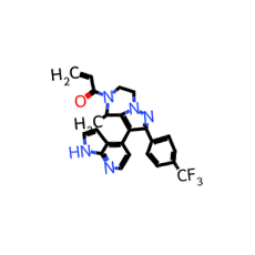 C=CC(=O)N1CCn2nc(-c3ccc(C(F)(F)F)cc3)c(-c3ccnc4[nH]ccc34)c2C1C